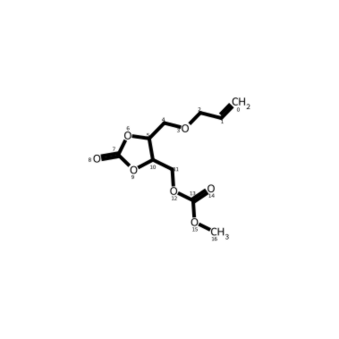 C=CCOCC1OC(=O)OC1COC(=O)OC